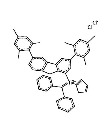 Cc1cc(C)c(-c2ccc3c(c2)-c2cc(-c4c(C)cc(C)cc4C)c[c]([Ti+2]([C]4=CC=CC4)=[C](c4ccccc4)c4ccccc4)c2C3)c(C)c1.[Cl-].[Cl-]